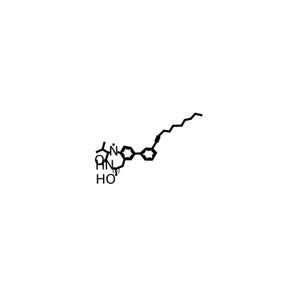 CCCCCCCCC#Cc1cccc(-c2ccc3c(c2)C[C@@H](CO)NC(=O)C(C(C)C)N3C)c1